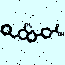 CC1CN(Cc2ccccc2)Cc2ccc(C3=CCN(C(=O)O)CC3)nc21